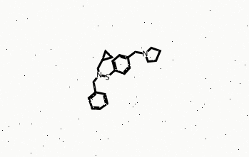 c1ccc(CN(CC2CC2)Sc2ccc(CN3CCCC3)cc2)cc1